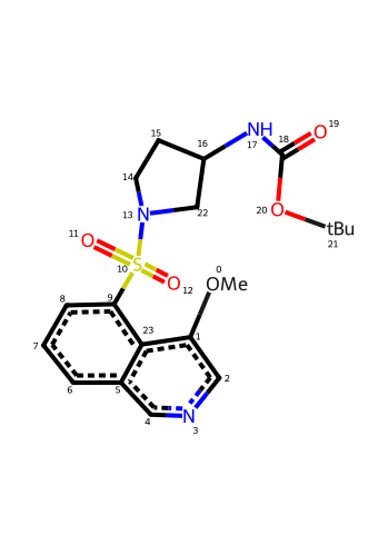 COc1cncc2cccc(S(=O)(=O)N3CCC(NC(=O)OC(C)(C)C)C3)c12